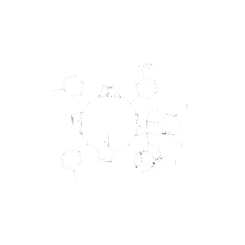 COc1cccc(-c2c3nc(c(-c4cccc(C)c4)c4ccc([nH]4)c(-c4cccc(C)c4)c4nc(c(-c5cccc(C)c5)c5ccc2[nH]5)C=C4)C(O)(c2cc(C)cc(C(F)(F)F)c2)C3(O)c2cc(C(F)(F)F)cc(C(F)(F)F)c2)c1